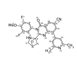 COc1c(F)cc(-n2c(C34CC(CN3)C4)nc3c(-c4cc(C)nc(C)c4)cc(C#N)cc3c2=O)cc1F